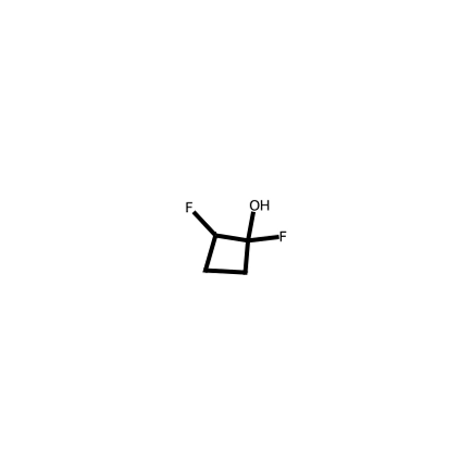 OC1(F)CC[C]1F